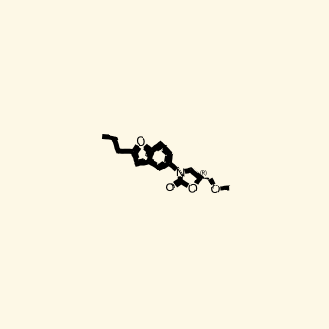 CCCc1cc2cc(N3C[C@H](COC)OC3=O)ccc2o1